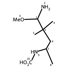 COC(N)C(C)(C)CC(C)NC(=O)O